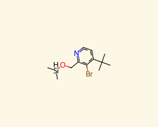 C[SiH](C)OCc1nccc(C(C)(C)C)c1Br